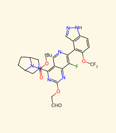 CC(C)(C)OC(=O)N1C2CCC1CN(c1nc(OCC=O)nc3c(F)c(-c4c(OC(F)(F)F)ccc5[nH]ncc45)ncc13)C2